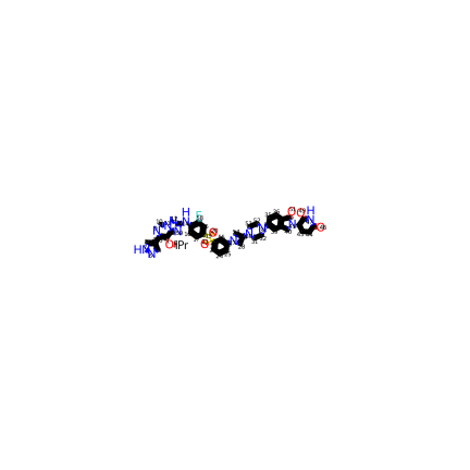 CC(C)Oc1c(-c2cn[nH]c2)ncn2nc(Nc3ccc(S(=O)(=O)c4cccc(N5CC(N6CCN(c7ccc8c(c7)CN([C@H]7CCC(=O)NC7=O)C8=O)CC6)C5)c4)cc3F)nc12